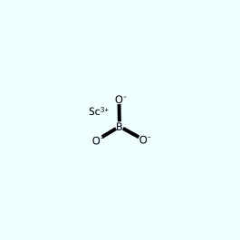 [O-]B([O-])[O-].[Sc+3]